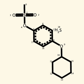 CS(=O)(=O)Oc1ccc(OC2CCCCC2)cc1.S